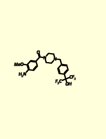 COc1cc(C(=O)N2CCN(Cc3ccc(C(O)(C(F)(F)F)C(F)(F)F)cc3)CC2)ccc1N